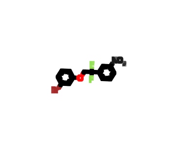 O=[N+]([O-])c1cccc(C(F)(F)COc2cccc(Br)c2)c1